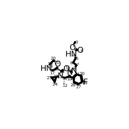 COC(=O)NCCCn1nc([C@H](C)N(C(=O)[C@H]2CNCCO2)C2CC2)c2ccc(F)cc21